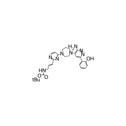 CC(C)(C)OC(=O)NC/C=C/c1nccc(N2CCCN(c3cc(-c4ccccc4O)nnc3N)CC2)n1